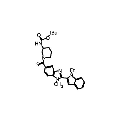 CCn1c(-c2nc3cc(C(=S)N4CCCC(NC(=O)OC(C)(C)C)C4)ccc3n2C)cc2ccccc21